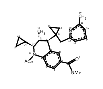 CNC(=O)c1ccc2c(c1)[C@H](C1(Cc3cccc(C)n3)CC1)[C@@H](C)[C@H](C1CC1)N2C(C)=O